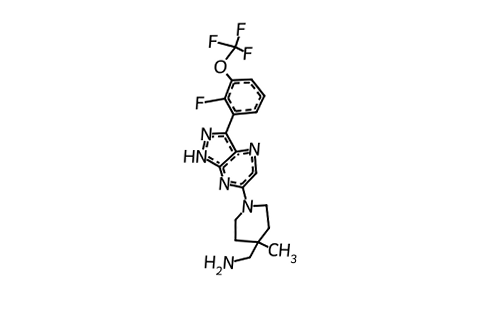 CC1(CN)CCN(c2cnc3c(-c4cccc(OC(F)(F)F)c4F)n[nH]c3n2)CC1